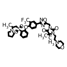 CC(CS(=O)(=O)c1ccccc1Oc1ccc(-c2noc(CN3C(=O)N(CCN4CCOCC4)C(C)(C)C3=O)n2)cc1C(F)(F)F)N1CCCC1